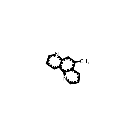 Cc1cc2ncccc2c2ncccc12